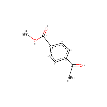 CCCCC(=O)c1ccc(C(=O)OCCC)cc1